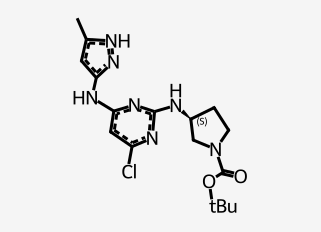 Cc1cc(Nc2cc(Cl)nc(N[C@H]3CCN(C(=O)OC(C)(C)C)C3)n2)n[nH]1